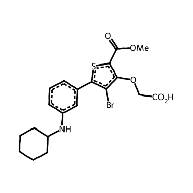 COC(=O)c1sc(-c2cccc(NC3CCCCC3)c2)c(Br)c1OCC(=O)O